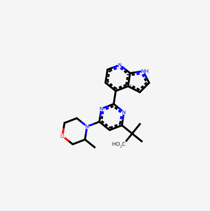 CC1COCCN1c1cc(C(C)(C)C(=O)O)nc(-c2ccnc3[nH]ccc23)n1